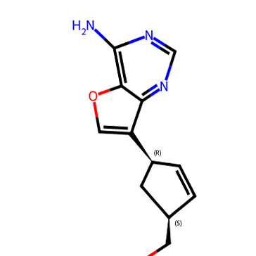 Nc1ncnc2c([C@H]3C=C[C@@H](CO)C3)coc12